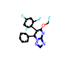 FCOc1nc2ncnn2c(-c2ccccc2)c1-c1c(F)cc(F)cc1F